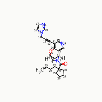 O=C(N1C[C@@H]2C[C@H]1c1cncc(C#CCn3ccnc3)c1O2)C1(CCCC(F)(F)F)CCCC1